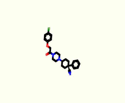 N#C[C@]1(c2ccccc2)CC[C@H](N2CCN(C(=O)COc3ccc(Cl)cc3)CC2)CC1